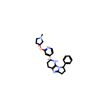 CN1CC[C@H](Oc2cc([C@H]3CCc4nc5n(c4N3)C(c3ccccc3)CC5)ccn2)C1